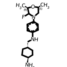 C[C@H]1CN(c2ccc(NC[C@H]3CC[C@H](N)CC3)cc2)C(F)[C@@H](C)O1